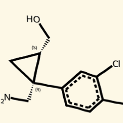 Cc1ccc([C@@]2(CN)C[C@@H]2CO)cc1Cl